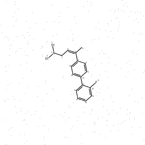 CCN(CC)C/C=C(/C)c1ccc(-c2ccccc2F)cc1